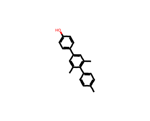 Cc1ccc(-c2c(C)cc(-c3ccc(O)cc3)cc2C)cc1